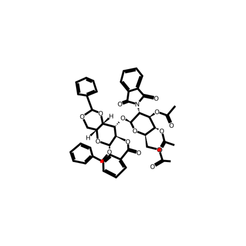 CC(=O)OC[C@H]1O[C@@H](O[C@H]2[C@H]3OC(c4ccccc4)OC[C@H]3O[C@@H](OCc3ccccc3)[C@@H]2OC(=O)c2ccccc2)[C@H](N2C(=O)c3ccccc3C2=O)[C@@H](OC(C)=O)[C@@H]1OC(C)=O